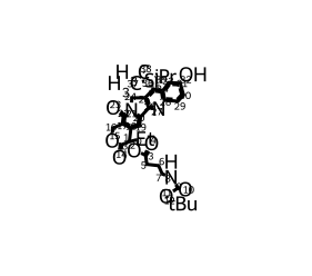 CCC1(OC(=O)CCCNC(=O)OC(C)(C)C)C(=O)OCc2c1cc1n(c2=O)Cc2c-1nc1ccc(O)cc1c2[Si](C)(C)C(C)C